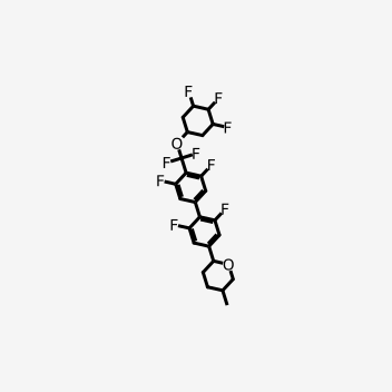 CC1CCC(c2cc(F)c(-c3cc(F)c(C(F)(F)OC4CC(F)C(F)C(F)C4)c(F)c3)c(F)c2)OC1